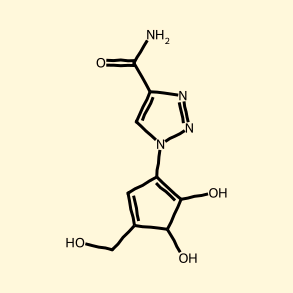 NC(=O)c1cn(C2=C(O)C(O)C(CO)=C2)nn1